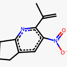 C=C(C)c1nc2c(cc1[N+](=O)[O-])CCC2